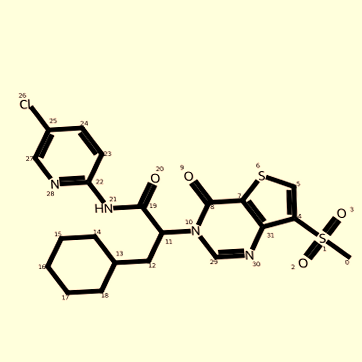 CS(=O)(=O)c1csc2c(=O)n(C(CC3CCCCC3)C(=O)Nc3ccc(Cl)cn3)cnc12